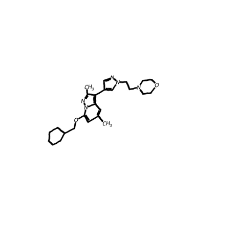 Cc1cc(OCC2CCCCC2)n2nc(C)c(-c3cnn(CCN4CCOCC4)c3)c2c1